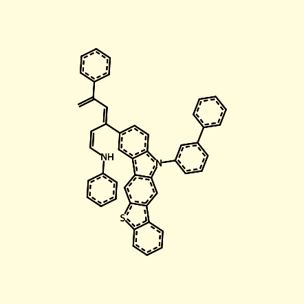 C=C(/C=C(\C=C/Nc1ccccc1)c1ccc2c(c1)c1cc3sc4ccccc4c3cc1n2-c1cccc(-c2ccccc2)c1)c1ccccc1